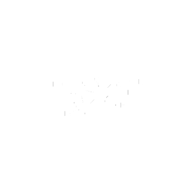 CCOC=C(C(=O)c1ccc(S(C)(=O)=O)c(OCC)c1Cl)C(=O)C(C)C